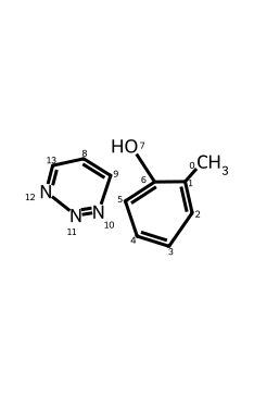 Cc1ccccc1O.c1cnnnc1